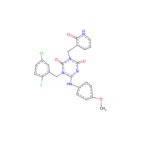 COc1ccc(Nc2nc(=O)n(Cc3ccc[nH]c3=O)c(=O)n2Cc2cc(Cl)ccc2F)cc1